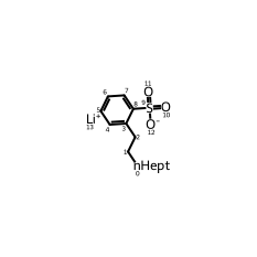 CCCCCCCCCc1ccccc1S(=O)(=O)[O-].[Li+]